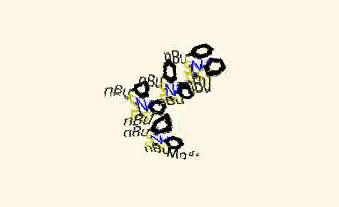 CCCCc1ccccc1[N+]([S-])(C(=S)[S-])c1ccccc1CCCC.CCCCc1ccccc1[N+]([S-])(C(=S)[S-])c1ccccc1CCCC.CCCCc1ccccc1[N+]([S-])(C(=S)[S-])c1ccccc1CCCC.CCCCc1ccccc1[N+]([S-])(C(=S)[S-])c1ccccc1CCCC.[Mo+4]